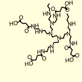 CCCNCCN(CCNC(=O)CCC(=O)O)CCN(CCNCCNC(=O)CCC(=O)O)CCN(CCNCCNC(=O)CCC(=O)O)CCN(CCNCCC)CCNC(=O)CCC(=O)O